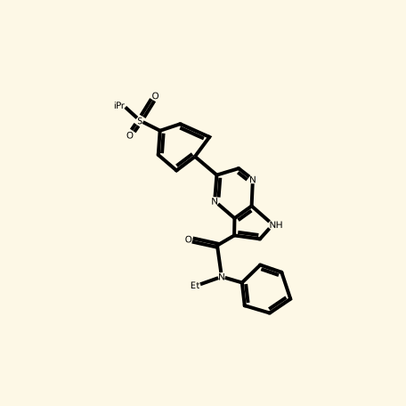 CCN(C(=O)c1c[nH]c2ncc(-c3ccc(S(=O)(=O)C(C)C)cc3)nc12)c1ccccc1